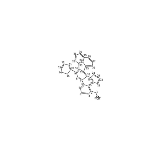 BrCc1cccc(-c2cc(C3=CC=CCC3)c3c(c2-c2ccccc2)-c2cccc4cccc-3c24)c1